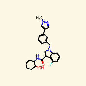 Cn1cc(-c2cccc(Cn3cc(C(=O)NC4CCCC[C@@H]4O)c4c(F)cccc43)c2)cn1